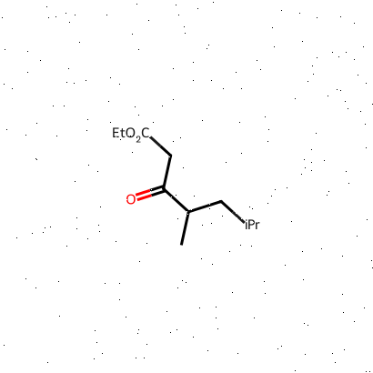 CCOC(=O)CC(=O)C(C)CC(C)C